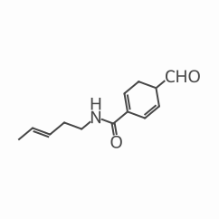 C/C=C/CCNC(=O)C1=CCC(C=O)C=C1